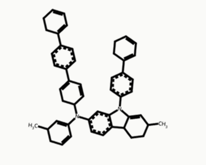 CC1C=C(N(c2ccc3c(c2)N(c2ccc(C4=CC=CCC4)cc2)C2=CC(C)CCC23)C2C=CC(c3ccc(C4=CC=CCC4)cc3)=CC2)C=CC1